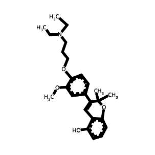 CCN(CC)CCCOc1ccc(C2=Cc3c(O)[c]ccc3OC2(C)C)cc1OC